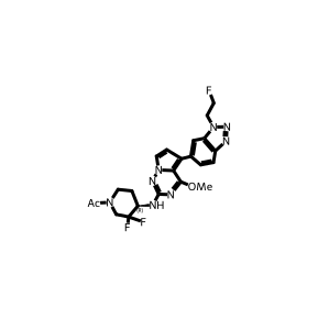 COc1nc(N[C@@H]2CCN(C(C)=O)CC2(F)F)nn2ccc(-c3ccc4nnn(CCF)c4c3)c12